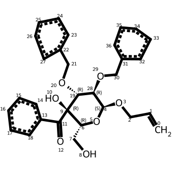 C=CCO[C@H]1O[C@H](CO)[C@](O)(C(=O)c2ccccc2)[C@H](OCc2ccccc2)[C@H]1OCc1ccccc1